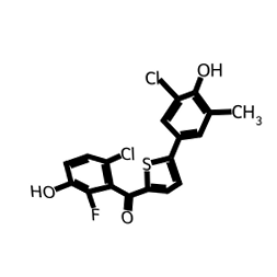 Cc1cc(-c2ccc(C(=O)c3c(Cl)ccc(O)c3F)s2)cc(Cl)c1O